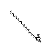 COCCOCCOCCOCCOCCOCCOc1cc(Br)sc1Br